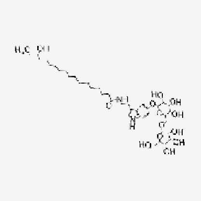 CCC(O)CCCCCCCCCCCCCCC(=O)NCCc1c[nH]c2ccc(OC3OC(COC4OC(CO)C(O)C(O)C4O)C(O)C(O)C3O)cc12